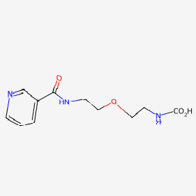 O=C(O)NCCOCCNC(=O)c1cccnc1